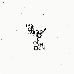 C#CCOc1ccc(/C=C/C(=O)Nc2ccccc2C#N)c(OC2CN(C(=O)OC(C)(C)C)C2)c1OC